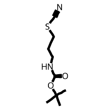 CC(C)(C)OC(=O)NCCCSC#N